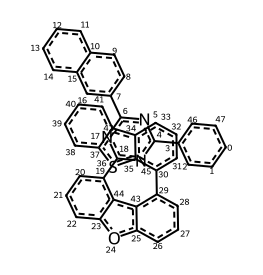 c1ccc(-c2nc(-c3ccc4ccccc4c3)nc(-c3cccc4oc5cccc(-c6cccc7c6sc6ccccc67)c5c34)n2)cc1